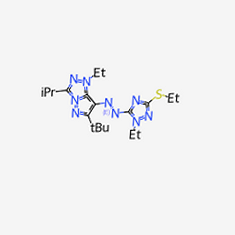 CCSc1nc(/N=N/c2c(C(C)(C)C)nn3c(C(C)C)nn(CC)c23)n(CC)n1